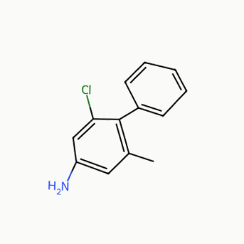 Cc1cc(N)cc(Cl)c1-c1ccccc1